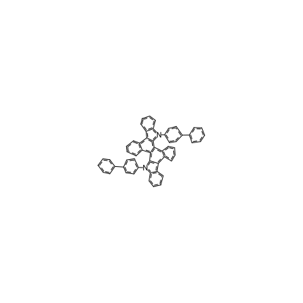 c1ccc(-c2ccc(-n3c4ccccc4c4c5ccccc5c5c(c6ccccc6c6c7ccccc7n(-c7ccc(-c8ccccc8)cc7)c65)c43)cc2)cc1